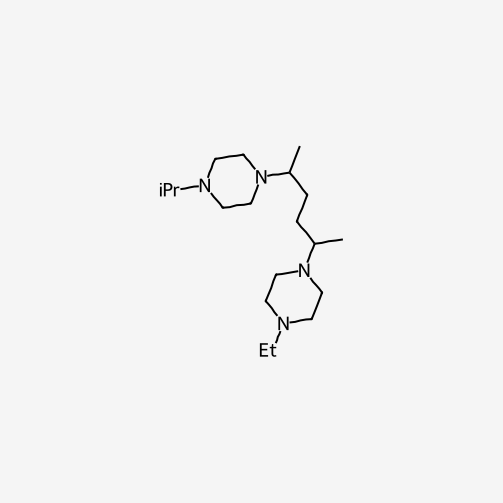 CCN1CCN(C(C)CCC(C)N2CCN(C(C)C)CC2)CC1